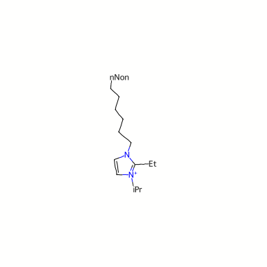 CCCCCCCCCCCCCCCn1cc[n+](C(C)C)c1CC